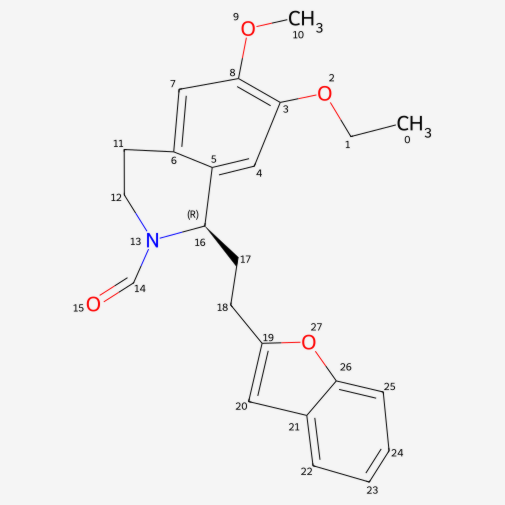 CCOc1cc2c(cc1OC)CCN(C=O)[C@@H]2CCc1cc2ccccc2o1